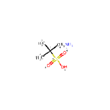 CC(C)(C)S(=O)(=O)O.N